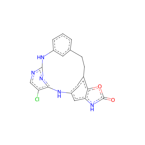 O=c1[nH]c2cc3cc(c2o1)CCc1cccc(c1)Nc1ncc(Cl)c(n1)N3